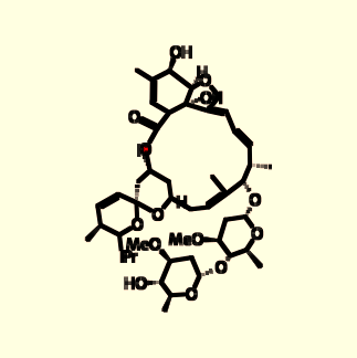 CO[C@H]1C[C@H](O[C@H]2[C@H](C)O[C@@H](O[C@@H]3/C(C)=C/C[C@@H]4C[C@@H](C[C@]5(C=C[C@H](C)C(C(C)C)O5)O4)OC(=O)C4C=C(C)[C@@H](O)[C@H]5OC/C(=C\C=C\[C@@H]3C)[C@@]45O)C[C@@H]2OC)O[C@@H](C)[C@@H]1O